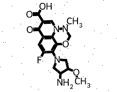 COC1CN(c2c(F)cc3c(=O)c(C(=O)O)cn4c3c2OCN4C)CC1N